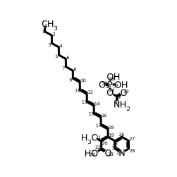 CCCCCCCCCC=CC=CC=CC=CC=CC(=C(C)C(=O)O)c1cccnc1.NC(=O)OP(=O)(O)O